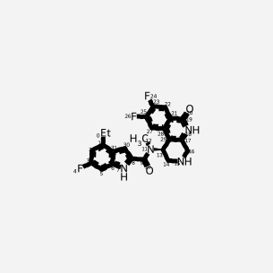 CCc1cc(F)cc2[nH]c(C(=O)N(C)[C@@H]3CNCc4[nH]c(=O)c5cc(F)c(F)cc5c43)cc12